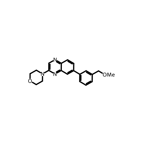 COCc1cccc(-c2ccc3ncc(N4CCOCC4)nc3c2)c1